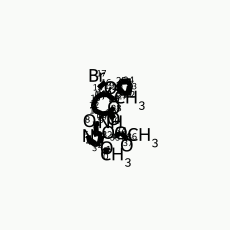 COc1ccnc(C(=O)N[C@H]2CCC[C@H](CCBr)[C@@H](Oc3ccccc3)[C@H](C)OC2=O)c1OCOC(C)=O